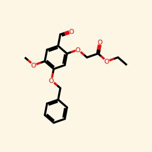 CCOC(=O)COc1cc(OCc2ccccc2)c(OC)cc1C=O